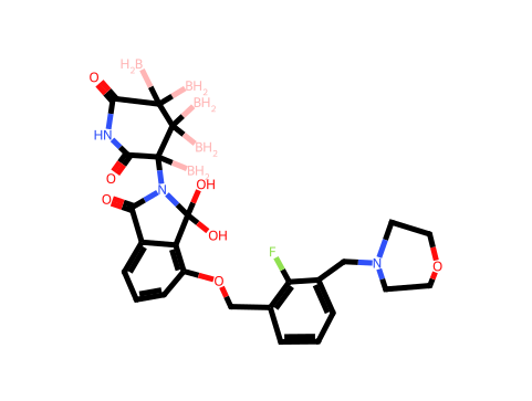 BC1(B)C(=O)NC(=O)C(B)(N2C(=O)c3cccc(OCc4cccc(CN5CCOCC5)c4F)c3C2(O)O)C1(B)B